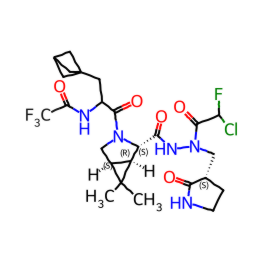 CC1(C)[C@@H]2[C@@H](C(=O)NN(C[C@@H]3CCNC3=O)C(=O)C(F)Cl)N(C(=O)C(CC34CC(C3)C4)NC(=O)C(F)(F)F)C[C@@H]21